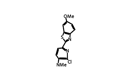 CNc1ccc(-c2nc3ccc(OC)cc3s2)nc1Cl